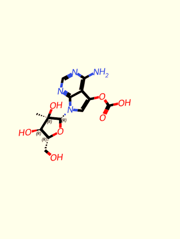 C[C@@]1(O)[C@H](O)[C@@H](CO)O[C@H]1n1cc(OC(=O)O)c2c(N)ncnc21